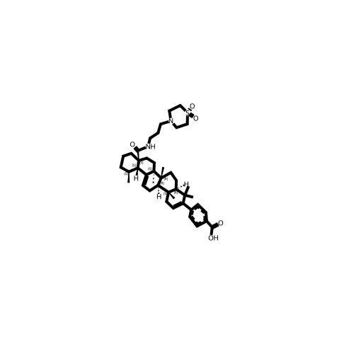 C[C@H]1CCC[C@]2(C(=O)NCCCN3CCS(=O)(=O)CC3)CC[C@]3(C)C(=CC[C@@H]4[C@@]5(C)CC=C(c6ccc(C(=O)O)cc6)C(C)(C)[C@@H]5CC[C@]43C)[C@H]12